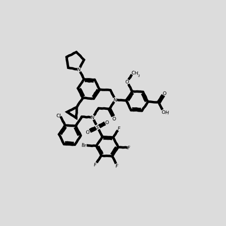 COc1cc(C(=O)O)ccc1N(Cc1cc(C2CC2)cc(N2CCCC2)c1)C(=O)CN(Cc1ccccc1Cl)S(=O)(=O)c1c(F)c(F)c(F)c(F)c1Br